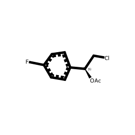 CC(=O)O[C@H](CCl)c1ccc(F)cc1